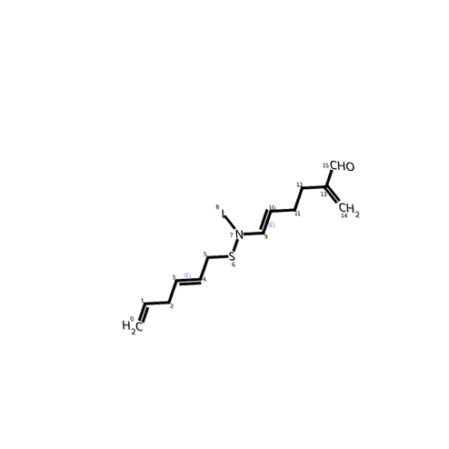 C=CC/C=C/CSN(I)/C=C/CCC(=C)C=O